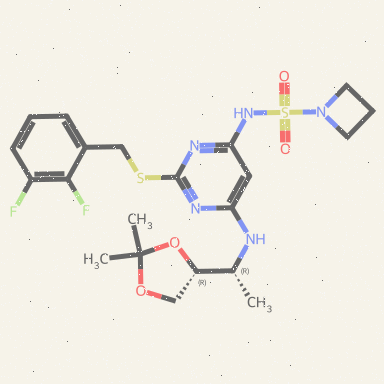 C[C@@H](Nc1cc(NS(=O)(=O)N2CCC2)nc(SCc2cccc(F)c2F)n1)[C@@H]1COC(C)(C)O1